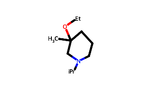 CCOC1(C)CCCN(C(C)C)C1